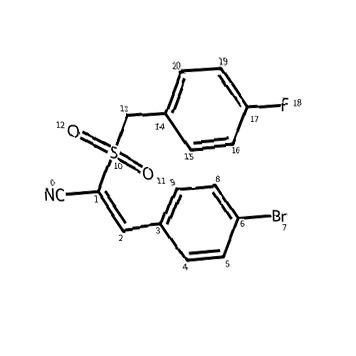 N#CC(=Cc1ccc(Br)cc1)S(=O)(=O)Cc1ccc(F)cc1